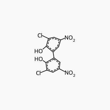 O=[N+]([O-])c1cc(Cl)c(O)c(-c2cc([N+](=O)[O-])cc(Cl)c2O)c1